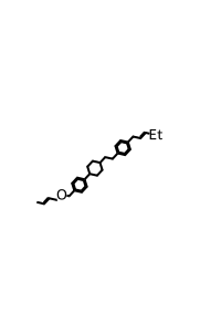 CC=CCOCc1ccc(C2CCC(CCc3ccc(CC=CCC)cc3)CC2)cc1